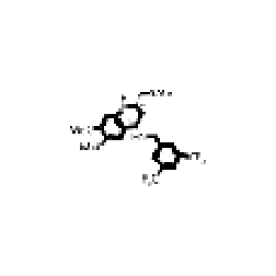 COc1cc2c(cc1OC)[C@@H](NCc1cc(C(F)(F)F)cc(C(F)(F)F)c1)C[C@@H](CSC)N2